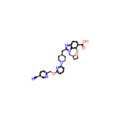 N#Cc1ccc(COc2cccc(N3CCC(Cc4nc5ccc(C(=O)O)c(F)c5n4C[C@@H]4CCO4)CC3)n2)nc1